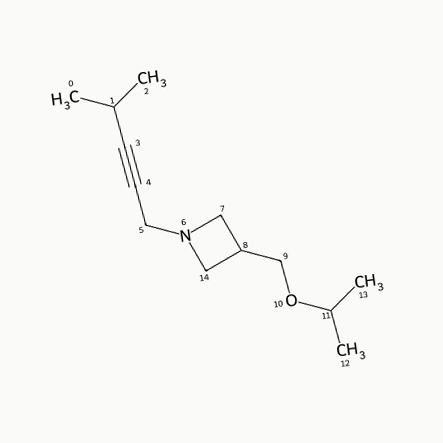 CC(C)C#CCN1CC(COC(C)C)C1